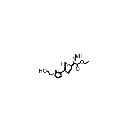 CCOC(=O)/C(N=N)=C1\C=CC(c2ccn(CCO)n2)=CN1